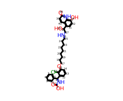 O=C(O)NC(c1ccccc1)c1cccc(OCCCCCCCCCNC[C@@H](O)c2ccc(O)c3[nH]c(=O)ccc23)c1Cl